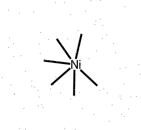 [CH3][Ni]([CH3])([CH3])([CH3])([CH3])[CH3]